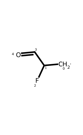 [CH2]C(F)C=O